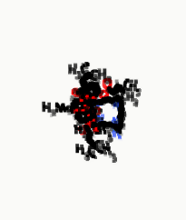 CC(C)C=CC(=O)Oc1ccccc1-c1c(-c2ccccc2OC(=O)C=CC(C)C)c2c(-c3ccccc3OC(=O)C=CC(C)C)c3nc(cc4ccc(cc5nc(cc1n2-c1ccccc1OC(=O)C=CC(C)C)C=C5)[nH]4)C=C3.[MgH2]